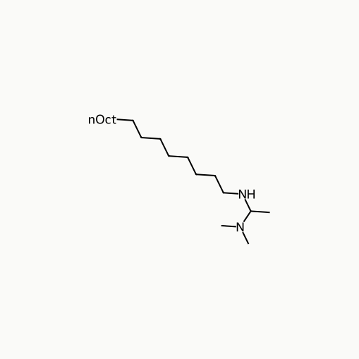 CCCCCCCCCCCCCCCCNC(C)N(C)C